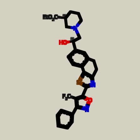 CCOC(=O)[C@H]1CCCN(C[C@H](O)c2ccc3c(c2)CCc2nc(-c4onc(-c5ccccc5)c4C(F)(F)F)sc2-3)C1